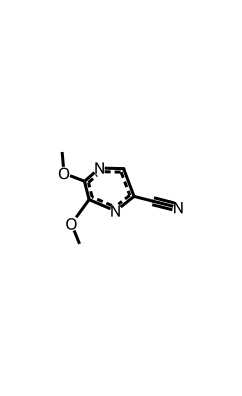 COc1ncc(C#N)nc1OC